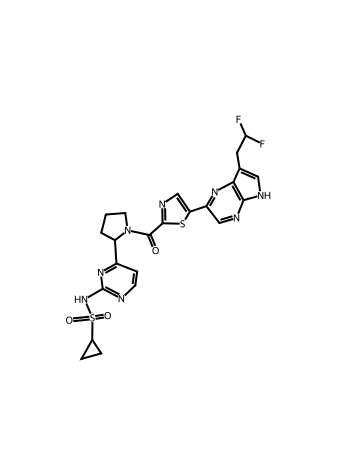 O=C(c1ncc(-c2cnc3[nH]cc(CC(F)F)c3n2)s1)N1CCCC1c1ccnc(NS(=O)(=O)C2CC2)n1